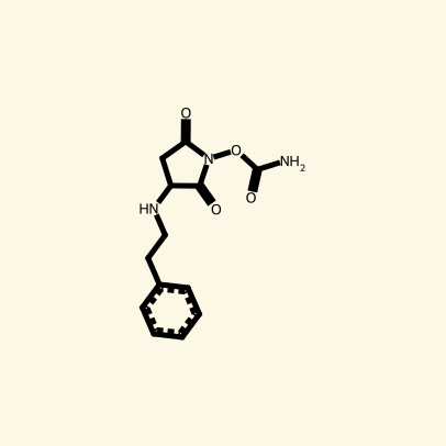 NC(=O)ON1C(=O)CC(NCCc2ccccc2)C1=O